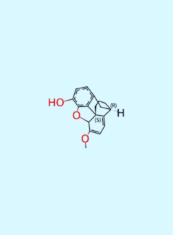 COC1=CC=C2[C@@H]3CCC[C@@]24c2c(ccc(O)c2OC14)C3